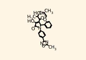 Cc1nc(-c2ccc(N3C(=O)C(O)=C(C(=O)C(C)C)C3c3ccccc3OCC(C)C)cc2)no1